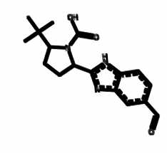 CC(C)(C)C1CCC(c2nc3cc(C=O)ccc3[nH]2)N1C(=O)O